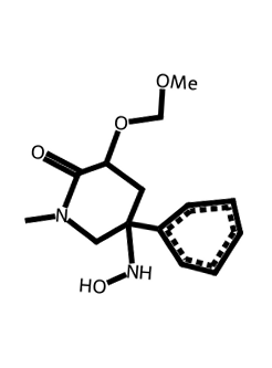 COCOC1CC(NO)(c2ccccc2)CN(C)C1=O